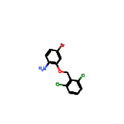 Nc1ccc(Br)cc1OCc1c(Cl)cccc1Cl